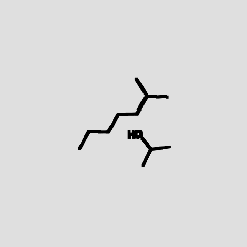 CC(C)O.CCCCCC(C)C